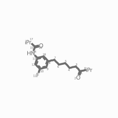 CC(C)C(=O)CCCCCc1cc(F)cc(NC(=O)C(C)C)c1